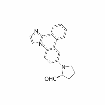 O=C[C@@H]1CCCN1c1ccc2c(c1)c1ccccc1c1nccn21